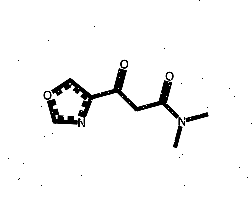 CN(C)C(=O)CC(=O)c1cocn1